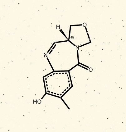 Cc1cc2c(cc1O)N=C[C@@H]1COCN1C2=O